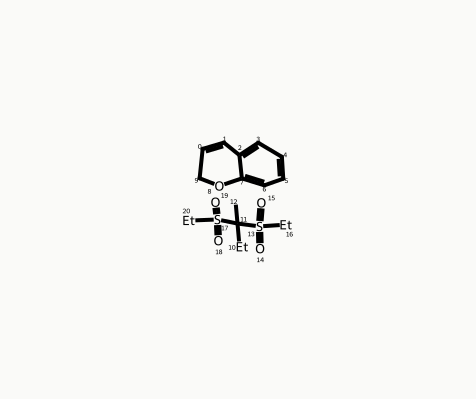 C1=Cc2ccccc2OC1.CCC(C)(S(=O)(=O)CC)S(=O)(=O)CC